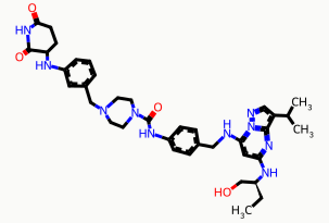 CC[C@@H](CO)Nc1cc(NCc2ccc(NC(=O)N3CCN(Cc4cccc(NC5CCC(=O)NC5=O)c4)CC3)cc2)n2ncc(C(C)C)c2n1